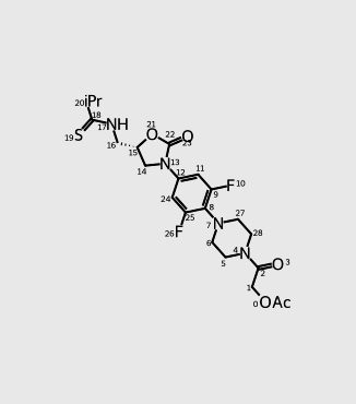 CC(=O)OCC(=O)N1CCN(c2c(F)cc(N3C[C@H](CNC(=S)C(C)C)OC3=O)cc2F)CC1